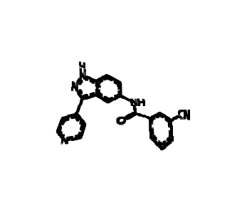 N#Cc1cccc(C(=O)Nc2ccc3[nH]nc(-c4ccncc4)c3c2)c1